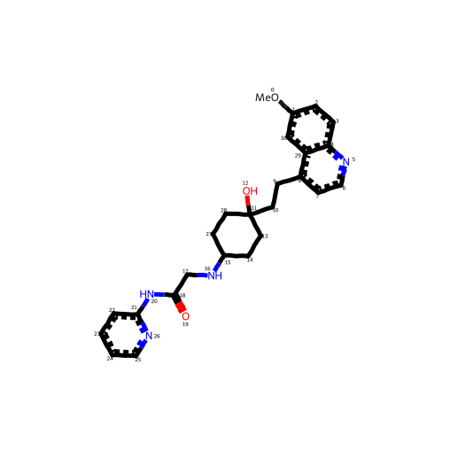 COc1ccc2nccc(CCC3(O)CCC(NCC(=O)Nc4ccccn4)CC3)c2c1